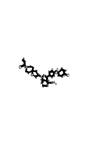 C=CC(=O)N1CCC2(CC1)CC(n1nc(-c3ccc(Oc4ccc(Cl)cc4)cc3)c3c(N)ncnc31)CO2